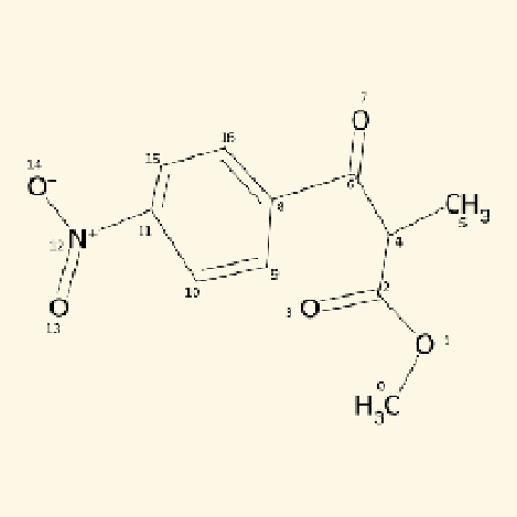 COC(=O)C(C)C(=O)c1ccc([N+](=O)[O-])cc1